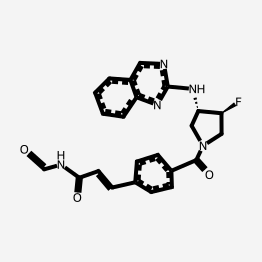 O=CNC(=O)C=Cc1ccc(C(=O)N2C[C@H](Nc3ncc4ccccc4n3)[C@@H](F)C2)cc1